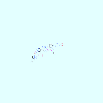 CC#CC(=O)Nc1cc(Nc2nc(-c3ccnc(N4CCn5c(cc6c5CC(C)(C)C6)C4=O)c3CO)cn(C)c2=O)ccc1N1CCN(C2COC2)C[C@@H]1C